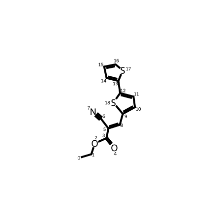 CCOC(=O)/C(C#N)=C/c1ccc(-c2cccs2)s1